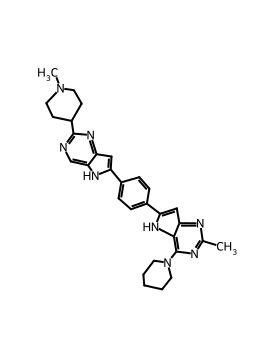 Cc1nc(N2CCCCC2)c2[nH]c(-c3ccc(-c4cc5nc(C6CCN(C)CC6)ncc5[nH]4)cc3)cc2n1